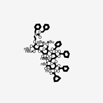 CCCCOCC1O[C@@H](O[C@@H]2C(COCCCC)O[C@H](O[C@H]3C(COCCCC)O[C@H](OCCN(Cc4ccccc4)C(=O)OCc4ccccc4)C(OCCCC)[C@H]3OCCCC)C(OCCCC)[C@H]2OCCCC)[C@@H](OC(=O)c2ccccc2)C(OC(=O)c2ccccc2)[C@@H]1O[C@@H]1OC(CO)[C@@H](O)C(OC(=O)c2ccccc2)[C@@H]1OC(=O)c1ccccc1